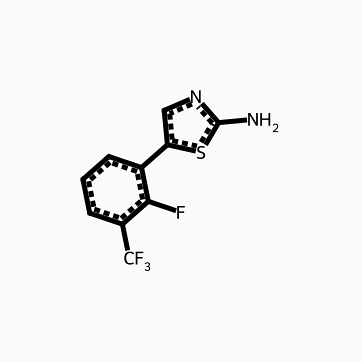 Nc1ncc(-c2cccc(C(F)(F)F)c2F)s1